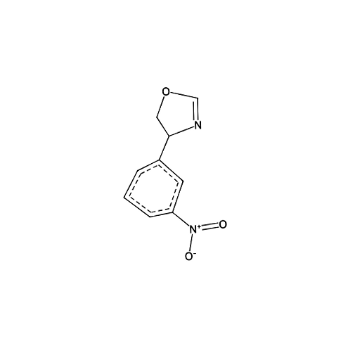 O=[N+]([O-])c1cccc(C2COC=N2)c1